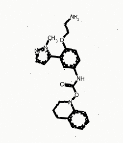 Cn1nccc1-c1cc(NC(=O)ON2CCCc3ccccc32)ccc1OCCN